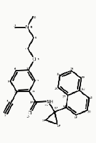 C#Cc1ccc(OCCN(C)C)cc1C(=O)NC1(c2cccc3ccccc23)CC1